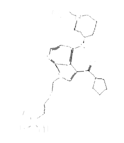 C[Si](C)(C)CCOCn1cc(C(=O)C2CCCC2)c2c(N[C@@H]3CCCN(C(=O)O)C3)ccnc21